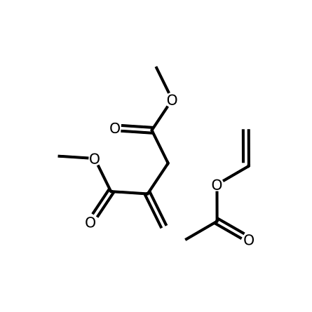 C=C(CC(=O)OC)C(=O)OC.C=COC(C)=O